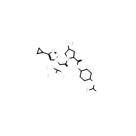 CC(C)(C)[C@@H](C(=O)N1CC(O)CC1C(=O)NC1CCC(OC(F)F)CC1)n1cc(C2CC2)nn1